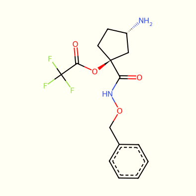 N[C@H]1CC[C@@](OC(=O)C(F)(F)F)(C(=O)NOCc2ccccc2)C1